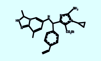 Bc1nc(C(NC2=CN3C(=NNC3C)C(C)=C2)c2ccc(C=C)cc2)c(C(=O)OCC)n1C1CC1